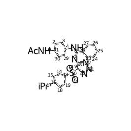 CC(=O)Nc1ccc(Nc2nc3c(S(=O)(=O)c4ccc(C(C)C)cc4)nnn3c3ccccc23)cc1